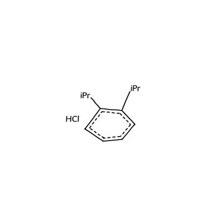 CC(C)c1ccccc1C(C)C.Cl